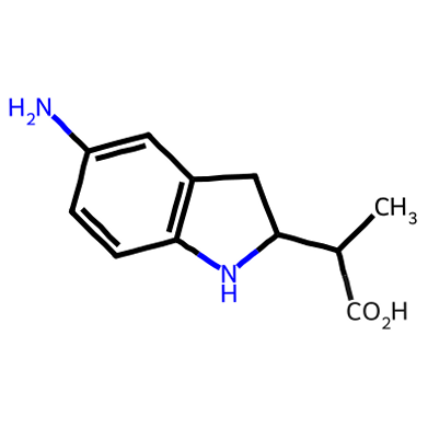 CC(C(=O)O)C1Cc2cc(N)ccc2N1